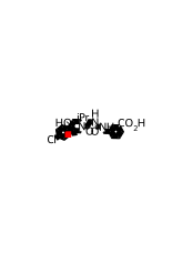 CC(C)[C@@H](NC(=O)NCc1cccc(C(=O)O)c1)C(=O)N1CC[C@](O)(c2ccc(Cl)cc2)C(C)(C)C1